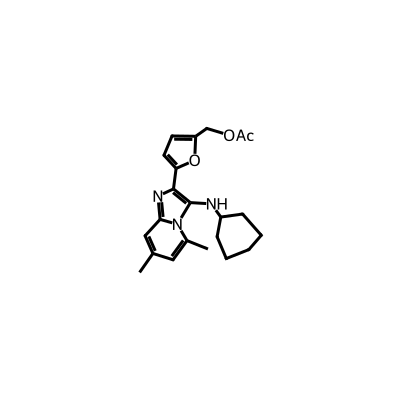 CC(=O)OCc1ccc(-c2nc3cc(C)cc(C)n3c2NC2CCCCC2)o1